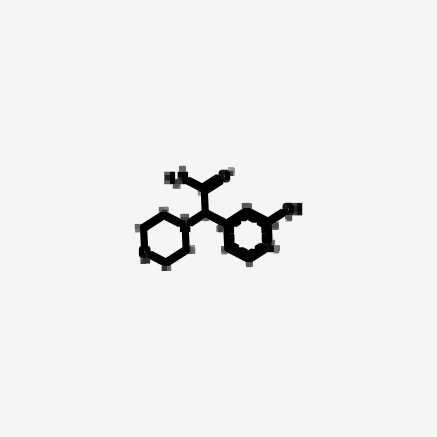 NC(=O)C(c1ccnc(O)c1)N1CCOCC1